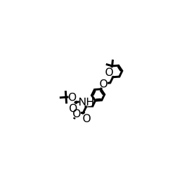 COC(=O)[C@H](Cc1ccc(OCC2CC=CC(C)(C)O2)cc1)NC(=O)OC(C)(C)C